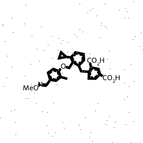 CON=Cc1ccc(OCc2c(Cc3ccc(C(=O)O)cc3C(=O)O)cccc2C2CC2)c(C)c1